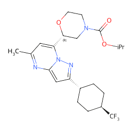 Cc1cc([C@H]2CN(C(=O)OC(C)C)CCO2)n2nc([C@H]3CC[C@H](C(F)(F)F)CC3)cc2n1